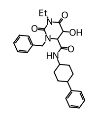 CCN1C(=O)C(O)C(C(=O)NC2CCC(c3ccccc3)CC2)N(Cc2ccccc2)C1=O